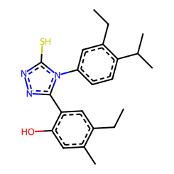 CCc1cc(-c2nnc(S)n2-c2ccc(C(C)C)c(CC)c2)c(O)cc1C